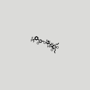 CCCn1c(=O)c2[nH]c(-c3cc(OCC4CC(=O)N(c5cccc(C(F)(F)F)c5)C4)n(C)n3)nc2n(CCC)c1=O